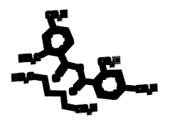 O=C(O)CCCCC(=O)O.O=C(O)c1ccc(C(=O)OC(=O)c2ccc(C(=O)O)cc2C(=O)O)c(C(=O)O)c1